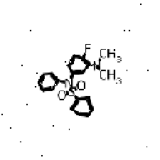 CN(C)c1cc(N(c2ccccc2)S(=O)(=O)c2ccccc2)ccc1F